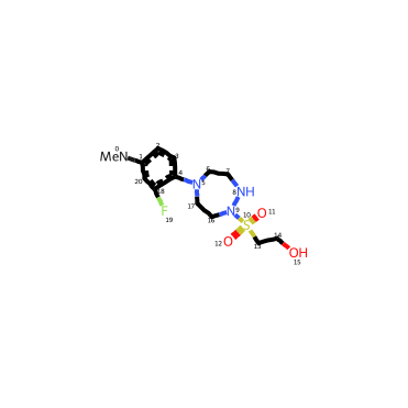 CNc1ccc(N2CCNN(S(=O)(=O)CCO)CC2)c(F)c1